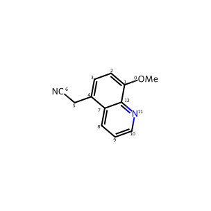 COc1ccc(CC#N)c2cccnc12